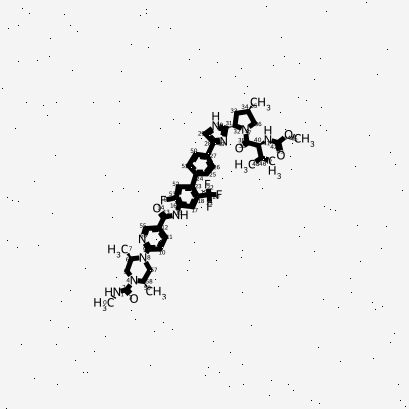 CNC(=O)N1C[C@@H](C)N(c2ccc(C(=O)Nc3cc(C(F)(F)F)c(-c4ccc(-c5c[nH]c([C@@H]6C[C@H](C)CN6C(=O)[C@@H](NC(=O)OC)C(C)C)n5)cc4)cc3F)cn2)C[C@@H]1C